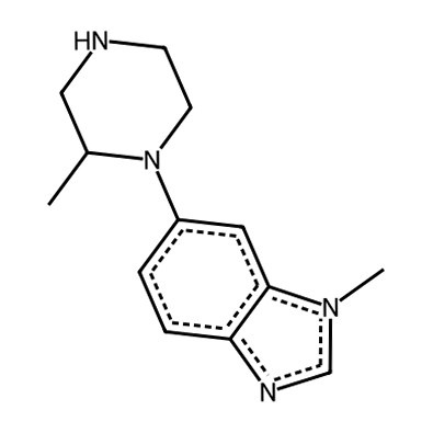 CC1CNCCN1c1ccc2ncn(C)c2c1